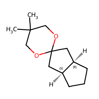 CC1(C)COC2(C[C@H]3CCC[C@H]3C2)OC1